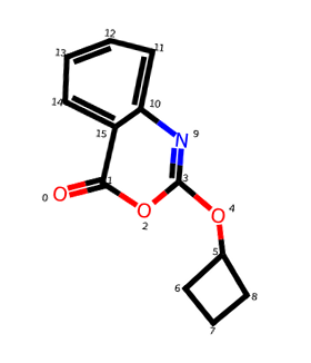 O=c1oc(OC2CCC2)nc2ccccc12